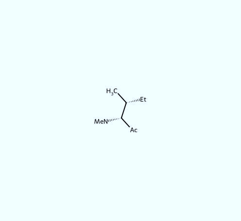 CC[C@@H](C)[C@@H](NC)C(C)=O